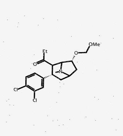 CCC(=O)C1C2[C@H](OCOC)CC(C[C@@H]1c1ccc(Cl)c(Cl)c1)N2C